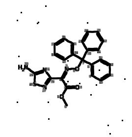 COC(=O)C(=NOC(c1ccccc1)(c1ccccc1)c1ccccc1)c1nsc(N)n1